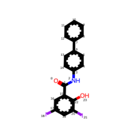 O=C(Nc1ccc(-c2ccccc2)cc1)c1cc(I)cc(I)c1O